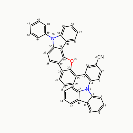 N#Cc1ccc(-n2c3ccccc3c3ccccc32)c(-c2cccc3c2oc2c3ccc3c2c2ccccc2n3-c2ccccc2)c1